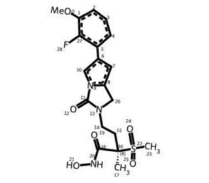 COc1cccc(-c2cc3n(c2)C(=O)N(CC[C@](C)(C(=O)NO)S(C)(=O)=O)C3)c1F